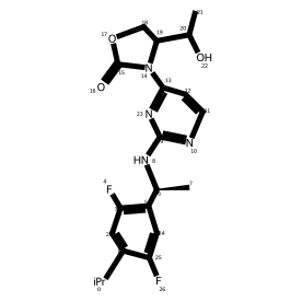 CC(C)c1cc(F)c([C@H](C)Nc2nccc(N3C(=O)OCC3C(C)O)n2)cc1F